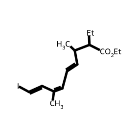 CCOC(=O)C(CC)C(C)C=CC=C(C)C=CI